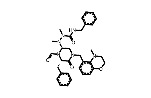 CN1CCOc2cccc(CN3C[C@H](N(C)N(C)C(=O)NCc4ccccc4)N(C=O)[C@@H](Cc4ccccc4)C3=O)c21